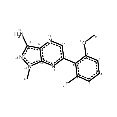 COc1cccc(F)c1-c1cnc2c(N)nn(C)c2n1